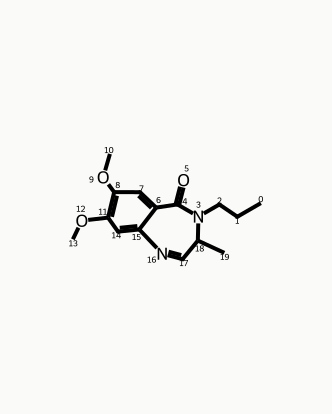 CCCN1C(=O)c2cc(OC)c(OC)cc2N=CC1C